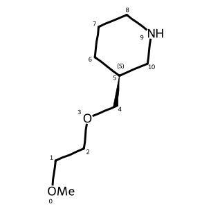 COCCOC[C@H]1CCCNC1